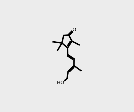 CC(C=CC1=C(C)C(=O)CC1(C)C)=CCO